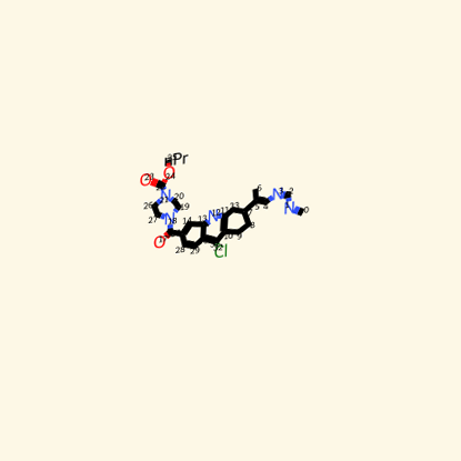 C=N/C=N\C=C(/C)C1CCc2c(nc3cc(C(=O)N4CCN(C(=O)OCCC)CC4)ccc3c2Cl)C1